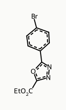 CCOC(=O)c1nnc(-c2ccc(Br)cc2)o1